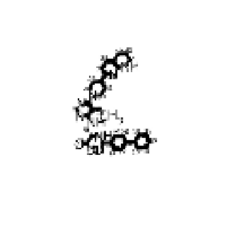 CCc1c(NC[C@H](NC(=O)c2ccc(-c3ccccc3)cc2)C(=O)O)ncnc1N1CCC(c2ccc3c(n2)NCCC3)CC1